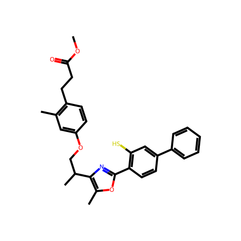 COC(=O)CCc1ccc(OCC(C)c2nc(-c3ccc(-c4ccccc4)cc3S)oc2C)cc1C